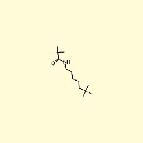 CC(C)(C)CCCCCNC(=O)C(C)(C)C